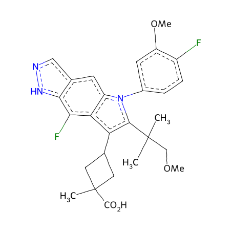 COCC(C)(C)c1c(C2CC(C)(C(=O)O)C2)c2c(F)c3[nH]ncc3cc2n1-c1ccc(F)c(OC)c1